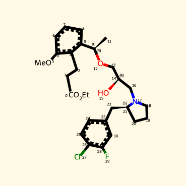 CCOC(=O)CCc1c(OC)cccc1[C@@H](C)OC[C@H](O)CN1CCC[C@H]1Cc1ccc(Cl)c(F)c1